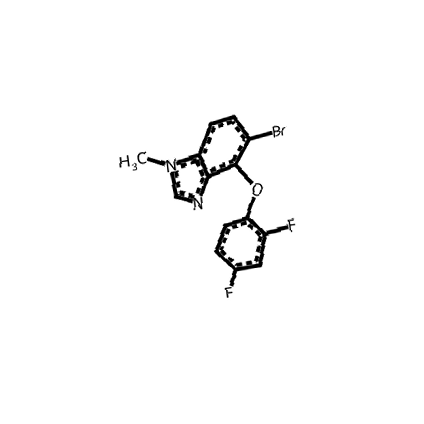 Cn1cnc2c(Oc3ccc(F)cc3F)c(Br)ccc21